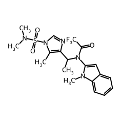 Cc1c(C(C)N(C(=O)C(F)(F)F)c2cc3ccccc3n2C)ncn1S(=O)(=O)N(C)C